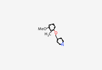 COc1cccc(OCc2ccncc2)c1C